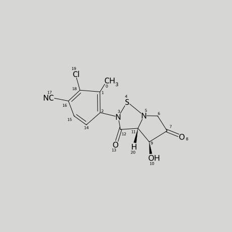 Cc1c(N2SN3CC(=O)[C@@H](O)[C@@H]3C2=O)ccc(C#N)c1Cl